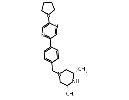 C[C@@H]1CN(Cc2ccc(-c3cnc(N4CCCC4)cn3)cc2)C[C@H](C)N1